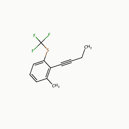 CCC#Cc1c(C)cccc1SC(F)(F)F